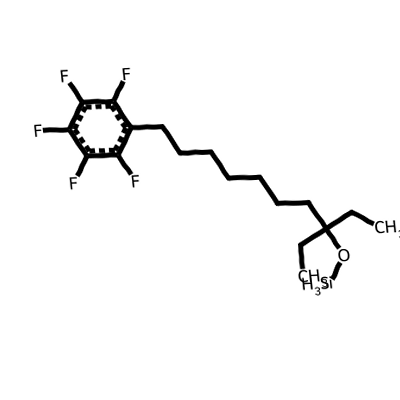 CCC(CC)(CCCCCCCc1c(F)c(F)c(F)c(F)c1F)O[SiH3]